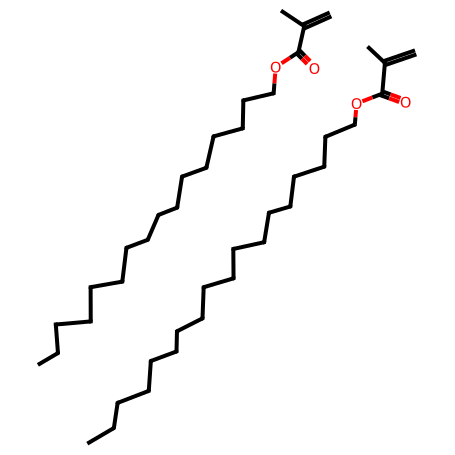 C=C(C)C(=O)OCCCCCCCCCCCCCCCC.C=C(C)C(=O)OCCCCCCCCCCCCCCCCCC